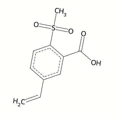 C=Cc1ccc(S(C)(=O)=O)c(C(=O)O)c1